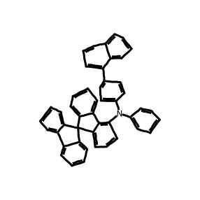 c1ccc(N(c2ccc(-c3cccc4ccccc34)cc2)c2cccc3c2-c2ccccc2C32c3ccccc3-c3ccccc32)cc1